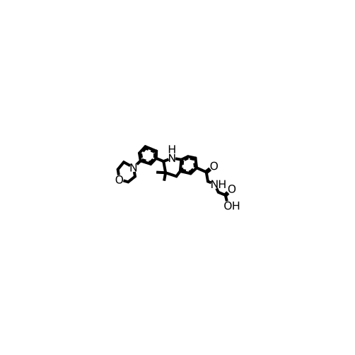 CC1(C)Cc2cc(C(=O)CNCC(=O)O)ccc2NC1c1cccc(N2CCOCC2)c1